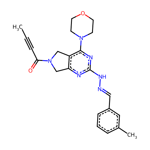 CC#CC(=O)N1Cc2nc(N/N=C/c3cccc(C)c3)nc(N3CCOCC3)c2C1